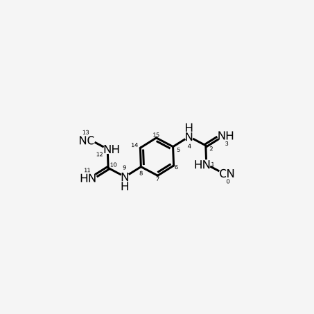 N#CNC(=N)Nc1ccc(NC(=N)NC#N)cc1